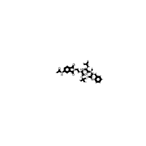 CC(=O)Nc1ccc2c(c1)C(=O)N(CC[C@@H](N[C@@H](CC(C)C)C(=O)N(C)[C@@H](Cc1ccccc1)C(N)=O)C(=O)OC(C)(C)C)C2=O